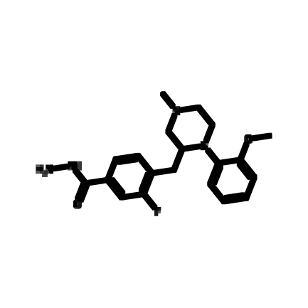 COc1ccccc1N1CCN(C)CC1Cc1ccc(C(=O)NN)cc1F